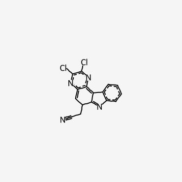 N#CCC1C=c2nc(Cl)c(Cl)nc2=C2C1=Nc1ccccc12